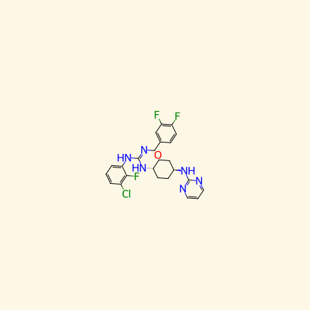 O=C(/N=C(/Nc1cccc(Cl)c1F)N[C@H]1CC[C@H](Nc2ncccn2)CC1)c1ccc(F)c(F)c1